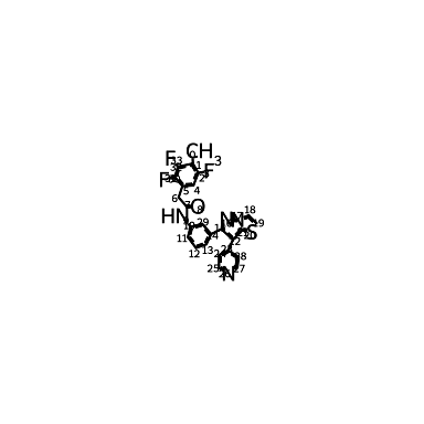 Cc1c(F)cc(CC(=O)Nc2cccc(-c3nn4ccsc4c3-c3ccncc3)c2)c(F)c1F